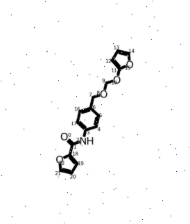 O=C(Nc1ccc(COCOc2ccco2)cc1)c1ccco1